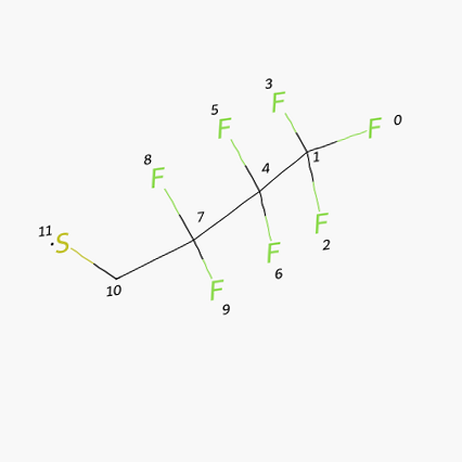 FC(F)(F)C(F)(F)C(F)(F)C[S]